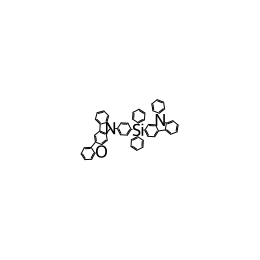 c1ccc(-n2c3ccccc3c3ccc([Si](c4ccccc4)(c4ccccc4)c4ccc(-n5c6ccccc6c6cc7c(cc65)oc5ccccc57)cc4)cc32)cc1